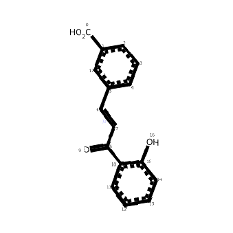 O=C(O)c1cccc(/C=C/C(=O)c2ccccc2O)c1